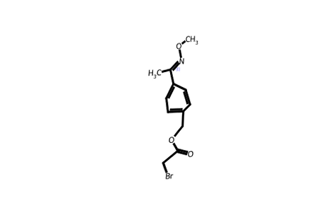 CO/N=C(\C)c1ccc(COC(=O)CBr)cc1